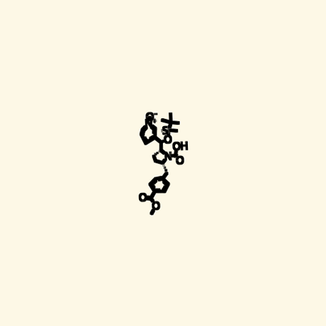 COC(=O)c1ccc(C[C@@H]2CC[C@H]([C@H](O[Si](C)(C)C(C)(C)C)c3ccc[n+]([O-])c3)N2C(=O)O)cc1